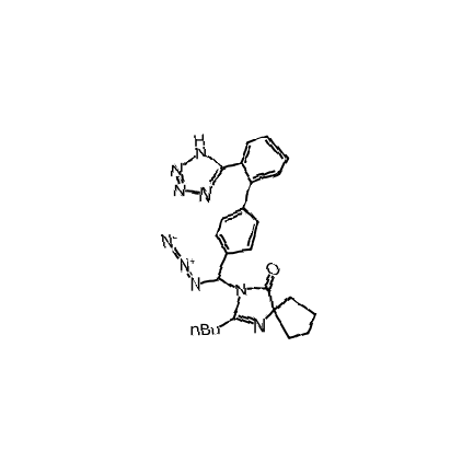 CCCCC1=NC2(CCCC2)C(=O)N1C(N=[N+]=[N-])c1ccc(-c2ccccc2-c2nnn[nH]2)cc1